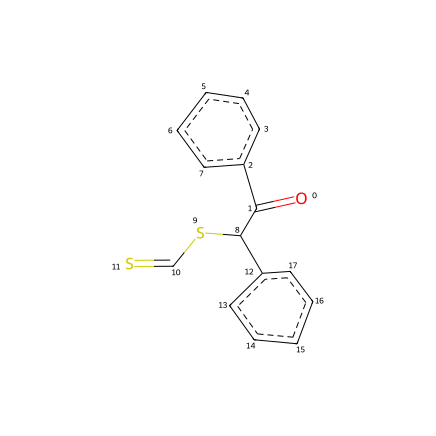 O=C(c1ccccc1)C(SC=S)c1ccccc1